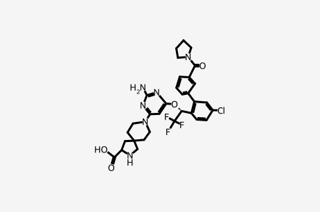 Nc1nc(O[C@H](c2ccc(Cl)cc2-c2cccc(C(=O)N3CCCC3)c2)C(F)(F)F)cc(N2CCC3(CC2)CNC(C(=O)O)C3)n1